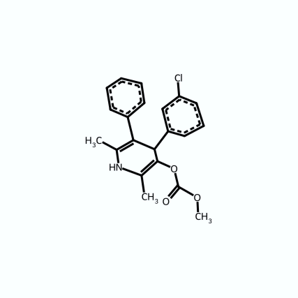 COC(=O)OC1=C(C)NC(C)=C(c2ccccc2)C1c1cccc(Cl)c1